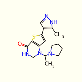 Cc1[nH]ncc1-c1cc2c(s1)C(=O)NCN2C(C)N1CCCC1